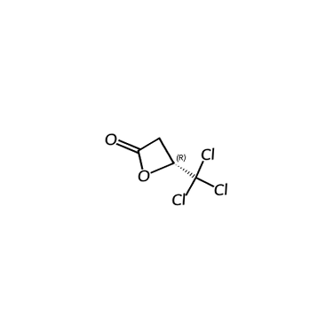 O=C1C[C@H](C(Cl)(Cl)Cl)O1